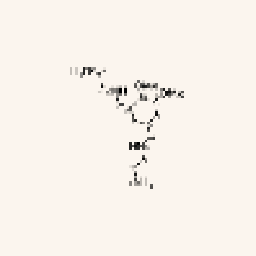 COC1CC(CNCCN)CC(CNCCN)C1OC